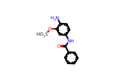 Nc1ccc(NC(=O)c2ccccc2)cc1OS(=O)(=O)O